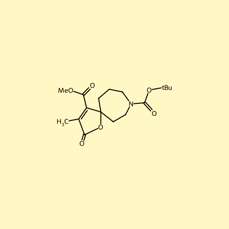 COC(=O)C1=C(C)C(=O)OC12CCCN(C(=O)OC(C)(C)C)CC2